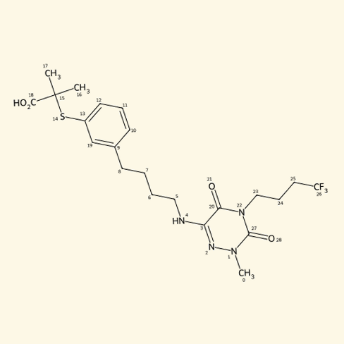 Cn1nc(NCCCCc2cccc(SC(C)(C)C(=O)O)c2)c(=O)n(CCCC(F)(F)F)c1=O